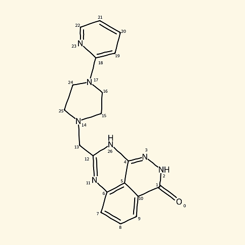 O=c1[nH]nc2c3c(cccc13)N=C(CN1CCN(c3ccccn3)CC1)N2